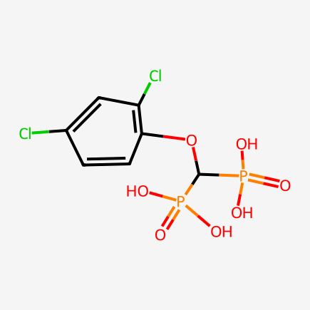 O=P(O)(O)C(Oc1ccc(Cl)cc1Cl)P(=O)(O)O